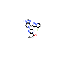 COC(=O)c1cnc(N2CCc3[nH]cnc3[C@@H]2c2cc3c(F)cccn3n2)cn1